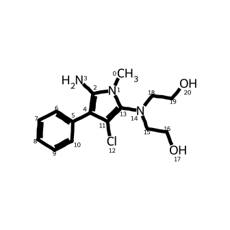 Cn1c(N)c(-c2ccccc2)c(Cl)c1N(CCO)CCO